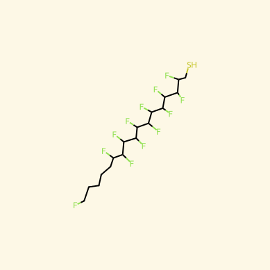 FCCCCCC(F)C(F)C(F)C(F)C(F)C(F)C(F)C(F)C(F)C(F)C(F)CS